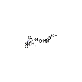 C[n+]1c(/C=C2\C=CN(CCOCCOCCn3cc(COCCO)nn3)c3ccccc32)sc2ccccc21